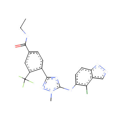 CCNC(=O)c1ccc(-c2nc(Nc3ccc4[nH]ncc4c3Cl)n(C)n2)c(C(F)(F)F)c1